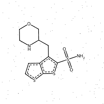 NS(=O)(=O)c1sc2sccc2c1CC1COCCN1